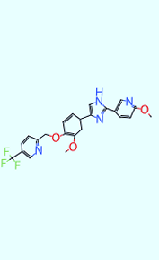 COC1=C(OCc2ccc(C(F)(F)F)cn2)C=CC(c2c[nH]c(-c3ccc(OC)nc3)n2)C1